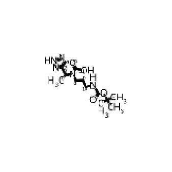 CC(c1cn[nH]n1)N(CCCNC(=O)OC(C)(C)C)C(=O)O